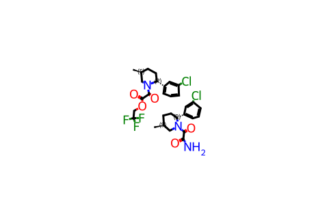 C[C@H]1CC[C@H](c2cccc(Cl)c2)N(C(=O)C(=O)OCC(F)(F)F)C1.C[C@H]1CC[C@H](c2cccc(Cl)c2)N(C(=O)C(N)=O)C1